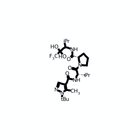 Cc1c(C(=O)N[C@H](C(=O)N2CCC[C@H]2C(=O)NC(C(C)C)C(O)(O)C(F)(F)F)C(C)C)cnn1C(C)(C)C